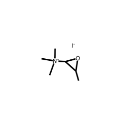 CC1OC1[N+](C)(C)C.[I-]